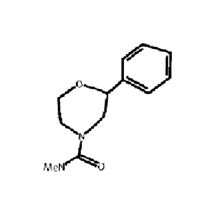 CNC(=O)N1CCOC(c2ccccc2)C1